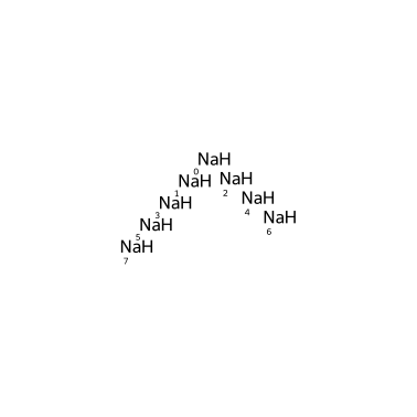 [NaH].[NaH].[NaH].[NaH].[NaH].[NaH].[NaH].[NaH]